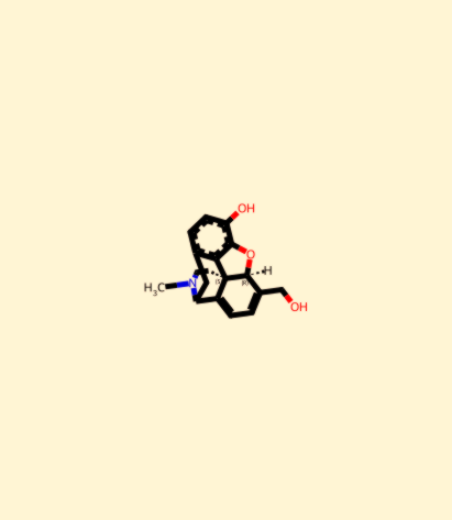 CN1CC[C@@]23C4=CC=C(CO)[C@@H]2Oc2c(O)ccc(c23)CC41